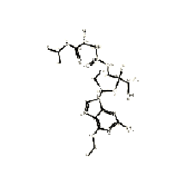 CCOc1nc(N)nc2c1ncn2[C@@H](CF)O[C@](F)(CO[PH](=O)N[C@@H](C)C(=O)OC(C)C)[C@H](C)O